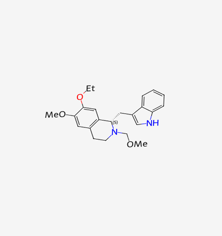 CCOc1cc2c(cc1OC)CCN(COC)[C@H]2Cc1c[nH]c2ccccc12